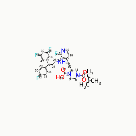 CC(C)(C)OC(=O)N1CCN(C(=O)O)C(C#Cc2ccnc(F)c2NCC[C@@H](c2ccc(F)cc2)c2cc(F)cc(F)c2)C1